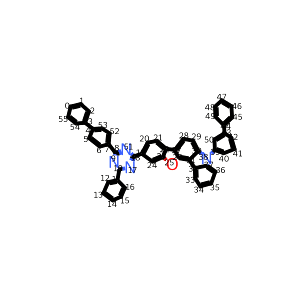 c1ccc(-c2ccc(-c3nc(-c4ccccc4)nc(-c4ccc5c(c4)oc4c5ccc5c4c4ccccc4n5-c4cccc(-c5ccccc5)c4)n3)cc2)cc1